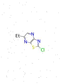 CCc1cnc2nc(Cl)sc2n1